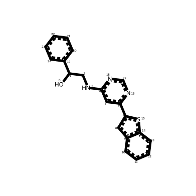 OC(CNc1cc(-c2cc3ccccc3s2)ncn1)c1ccccc1